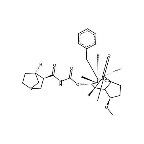 CO[C@@H]1CCC23CC[C@@H](C)[C@](C)(C12)[C@H](OC(=O)NC(=O)[C@H]1CN2CC[C@@H]1C2)C[C@@](C)(Cc1ccccc1)C(=O)[C@@H]3C